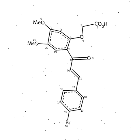 COc1cc(OCC(=O)O)c(C(=O)/C=C/c2ccc(Br)cc2)cc1SC